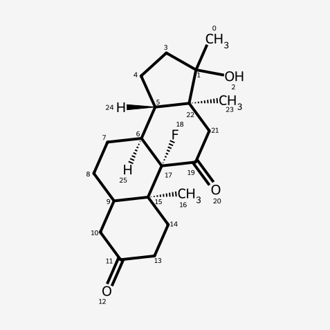 CC1(O)CC[C@H]2[C@@H]3CCC4CC(=O)CC[C@]4(C)[C@]3(F)C(=O)C[C@@]21C